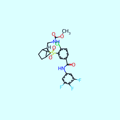 COC(=O)NC[C@H]1CC2CCC1[C@@H]2S(=O)(=O)c1cc(C(=O)Nc2cc(F)c(F)c(F)c2)ccc1Cl